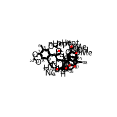 CCCCCCCC(=O)Oc1c(C)c2c(c3c1[C@H]1SC[C@]4(NCCc5cc(O)c(OC)cc54)C(=O)OC[C@@H]3N3C1[C@@H]1c4c(cc(C)c(OC)c4OC(=O)CCCCCCC)C[C@H]([C@@H]3C#N)N1C)OCO2